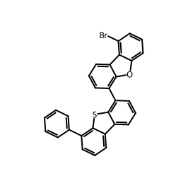 Brc1cccc2oc3c(-c4cccc5c4sc4c(-c6ccccc6)cccc45)cccc3c12